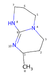 CC1CCN2CCCNC2=N1